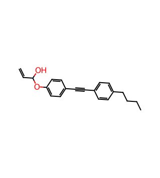 C=CC(O)Oc1ccc(C#Cc2ccc(CCCC)cc2)cc1